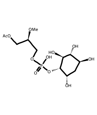 CO[C@H](COC(C)=O)COP(=O)(O)O[C@@H]1[C@@H](O)[C@H](O)[C@@H](O)C[C@@H]1O